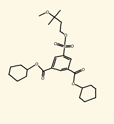 COC(C)(C)CCOS(=O)(=O)c1cc(C(=O)OC2CCCCC2)cc(C(=O)OC2CCCCC2)c1